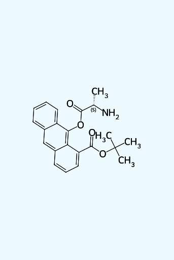 C[C@H](N)C(=O)Oc1c2ccccc2cc2cccc(C(=O)OC(C)(C)C)c12